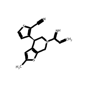 C=CC(=N)N1Cc2sc(C)cc2[C@@H](c2ccsc2C#N)C1